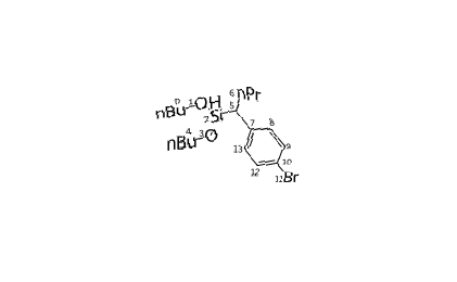 CCCCO[SiH](OCCCC)C(CCC)c1ccc(Br)cc1